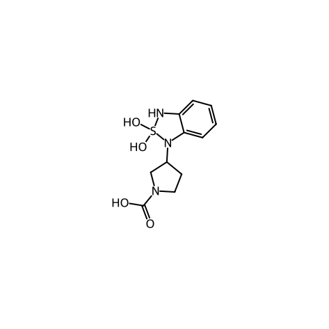 O=C(O)N1CCC(N2c3ccccc3NS2(O)O)C1